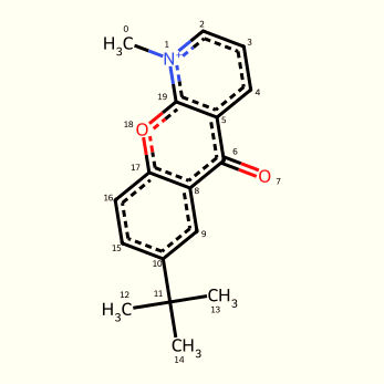 C[n+]1cccc2c(=O)c3cc(C(C)(C)C)ccc3oc21